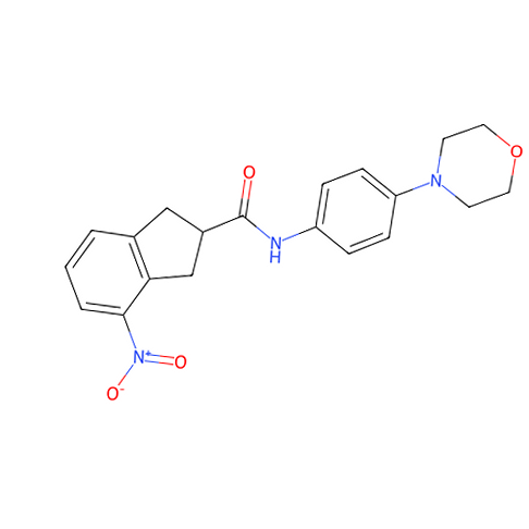 O=C(Nc1ccc(N2CCOCC2)cc1)C1Cc2cccc([N+](=O)[O-])c2C1